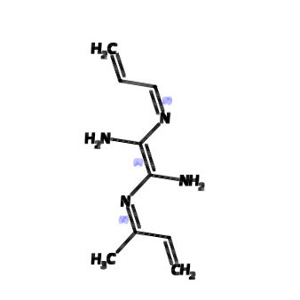 C=C\C=N/C(N)=C(N)/N=C(/C)C=C